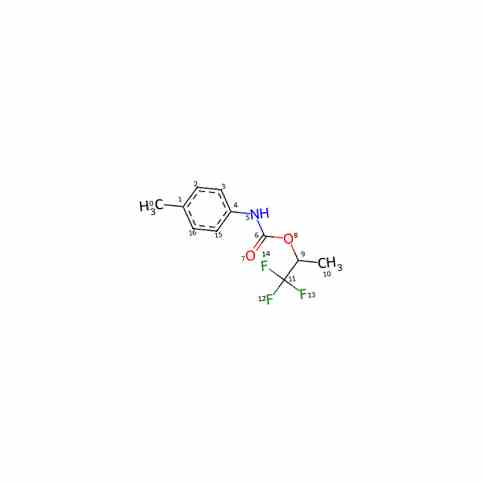 Cc1ccc(NC(=O)OC(C)C(F)(F)F)cc1